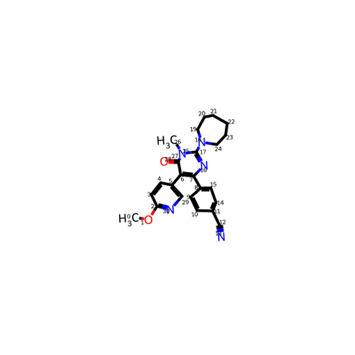 COc1ccc(-c2c(-c3ccc(C#N)cc3)nc(N3CCCCCC3)n(C)c2=O)cn1